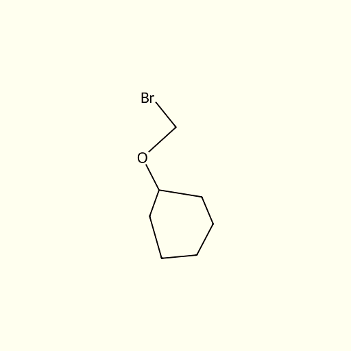 BrCOC1CCCCC1